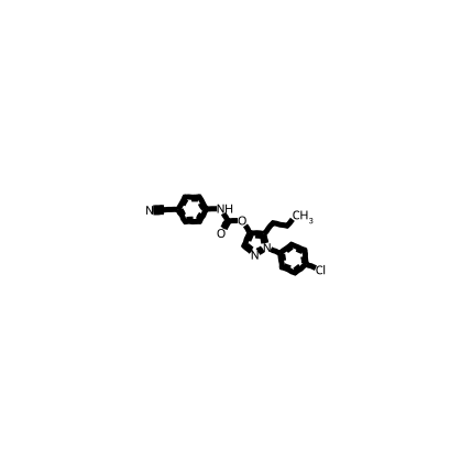 CCCc1c(OC(=O)Nc2ccc(C#N)cc2)cnn1-c1ccc(Cl)cc1